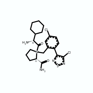 NC(=O)[C@@H]1CCC[N+]1(Cc1cc(Cl)ccc1-c1nsnc1Cl)C(=O)[C@H](N)C1CCCCC1